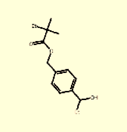 CCC(O)c1ccc(COC(=O)C(C)(C)CC)cc1